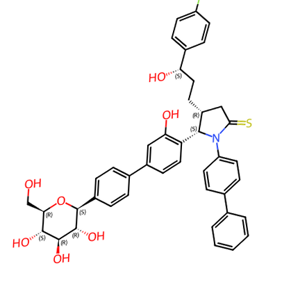 OC[C@H]1O[C@@H](c2ccc(-c3ccc([C@@H]4[C@H](CC[C@H](O)c5ccc(F)cc5)CC(=S)N4c4ccc(-c5ccccc5)cc4)c(O)c3)cc2)[C@H](O)[C@@H](O)[C@@H]1O